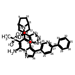 CS(=O)(=O)c1c(C2CC3CCC(C2)N3C(=O)c2nn[nH]n2)nc2c(-c3ccc(-c4ccccc4)nc3)cnn2c1N